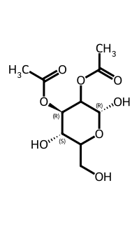 CC(=O)OC1[C@H](O)OC(CO)[C@H](O)[C@H]1OC(C)=O